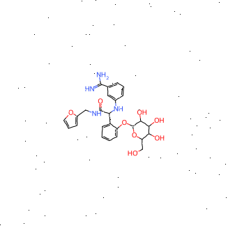 N=C(N)c1cccc(NC(C(=O)NCc2ccco2)c2ccccc2OC2OC(CO)C(O)C(O)C2O)c1